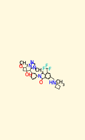 CO[C@H]1C[C@](O)(C(c2cccc(N3Cc4c(cc(CNC5(C)CCC5)cc4C(F)(F)F)C3=O)c2)c2nncn2C)C1